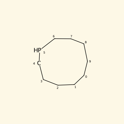 C1CCCCPCCCC1